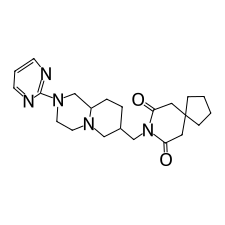 O=C1CC2(CCCC2)CC(=O)N1CC1CCC2CN(c3ncccn3)CCN2C1